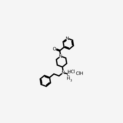 CN(CCc1ccccc1)C1CCN(C(=O)c2cccnc2)CC1.Cl.Cl